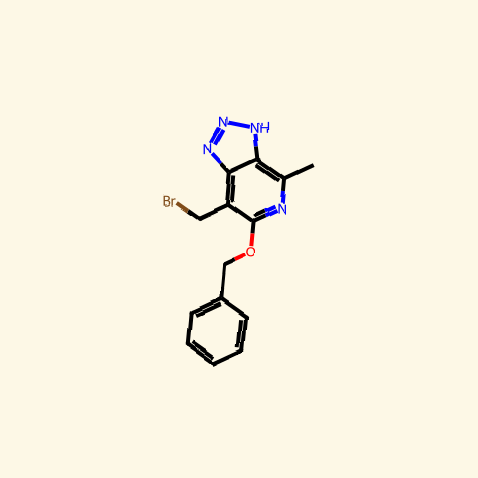 Cc1nc(OCc2ccccc2)c(CBr)c2nn[nH]c12